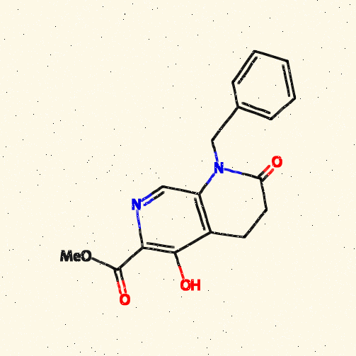 COC(=O)c1ncc2c(c1O)CCC(=O)N2Cc1ccccc1